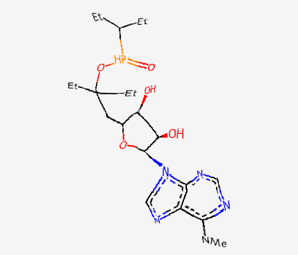 CCC(CC)[PH](=O)OC(CC)(CC)CC1O[C@H](n2cnc3c(NC)ncnc32)[C@H](O)[C@@H]1O